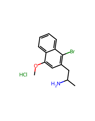 COc1cc(CC(C)N)c(Br)c2ccccc12.Cl